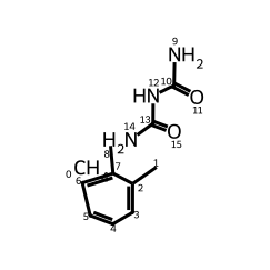 C.Cc1ccccc1C.NC(=O)NC(N)=O